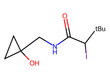 CC(C)(C)C(I)C(=O)NCC1(O)CC1